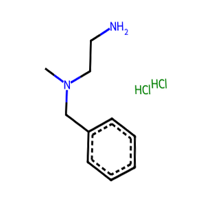 CN(CCN)Cc1ccccc1.Cl.Cl